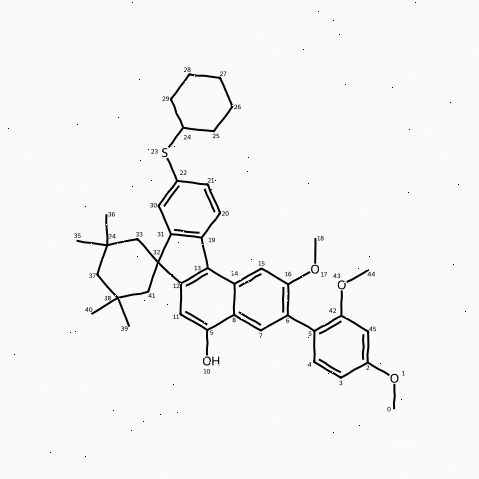 COc1ccc(-c2cc3c(O)cc4c(c3cc2OC)-c2ccc(SC3CCCCC3)cc2C42CC(C)(C)CC(C)(C)C2)c(OC)c1